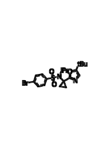 CC(C)N(C1(c2ncc(C(C)(C)C)o2)CC1)S(=O)(=O)c1ccc(Br)cc1